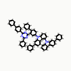 c1ccc(-c2ccc(-c3nc(-c4ccccc4)nc(-c4cc(-n5c6cc(-c7ccccc7)ccc6c6c(-n7c8ccccc8c8ccc(-c9ccccc9)cc87)cccc65)ccc4-c4ccccc4)n3)cc2)cc1